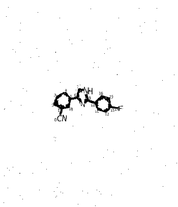 N#Cc1cccc(-c2c[nH]c(-c3ccc(F)cc3)n2)c1